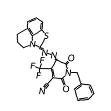 N#CC1=C(C(F)(F)F)/C(=N\N=c2/sc3cccc4c3n2CCC4)C(=O)N(Cc2ccccc2)C1=O